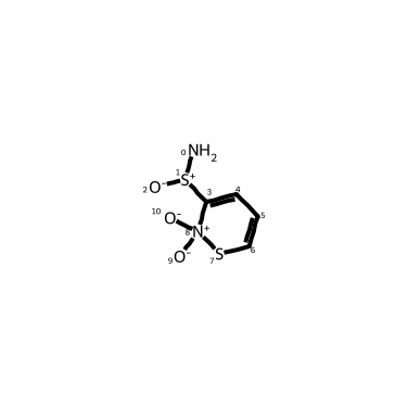 N[S+]([O-])C1=CC=CS[N+]1([O-])[O-]